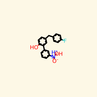 [O-][NH+](O)c1cccc(-c2cc(Cc3ccc(F)cc3)ccc2O)c1